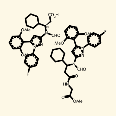 COC(=O)CNC(=O)CC(C1CCCCC1)N(C=O)c1cc(-c2c(OC)cccc2OC)n(-c2ccc(F)cc2)n1.COc1cccc(OC)c1-c1cc(N(C=O)[C@H](CC(=O)O)C2CCCCC2)nn1-c1ccc(F)cc1